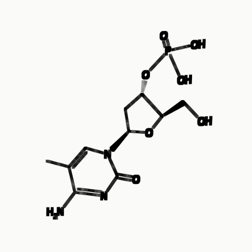 Cc1cn([C@H]2C[C@H](OP(=O)(O)O)[C@@H](CO)O2)c(=O)nc1N